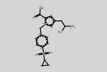 CC(C)Cc1cc(C(=O)O)n(Cc2ccc(S(=O)(=O)C3CC3)cc2)c1